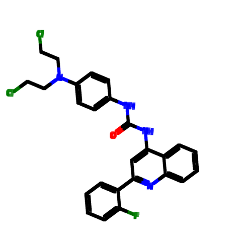 O=C(Nc1ccc(N(CCCl)CCCl)cc1)Nc1cc(-c2ccccc2F)nc2ccccc12